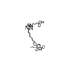 CCCc1c(OCCCCCCc2nnn(CCCC(=O)O)n2)ccc(C(C)=O)c1O